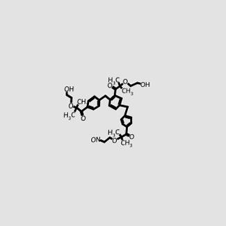 CC(C)(OCCO)C(=O)c1ccc(Cc2ccc(Cc3ccc(C(=O)C(C)(C)OCCN=O)cc3)cc2C(=O)C(C)(C)OCCO)cc1